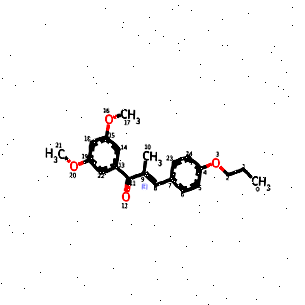 CCCOc1ccc(/C=C(\C)C(=O)c2cc(OC)cc(OC)c2)cc1